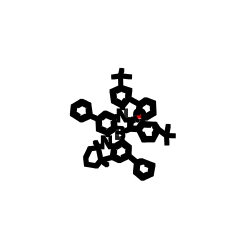 CC(C)(C)c1ccc(N2c3cc(-c4ccccc4)cc4c3B(c3cc(-c5ccccc5)cc5c3N4C3(C)CCCCC53C)c3c2oc2cc(C(C)(C)C)ccc32)c(-c2ccccc2)c1